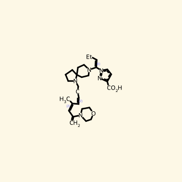 C=C(/C=C(C)\C=C/CCN1CCCC12CCN(/C(=C\CC)n1ccc(C(=O)O)n1)CC2)N1CCOCC1